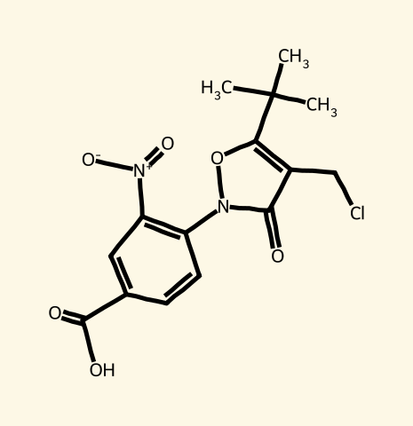 CC(C)(C)c1on(-c2ccc(C(=O)O)cc2[N+](=O)[O-])c(=O)c1CCl